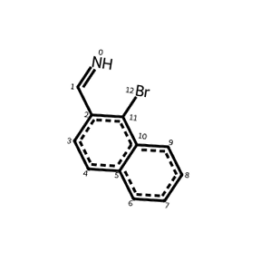 N=Cc1ccc2ccccc2c1Br